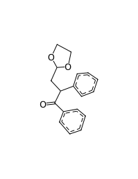 O=C(c1ccccc1)C(CC1OCCO1)c1ccccc1